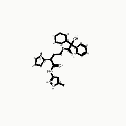 Cc1cc(NC(=O)C(CCOC(=O)C(O)(c2ccccc2)C2CCCCC2)[C@H]2CCCN2)no1